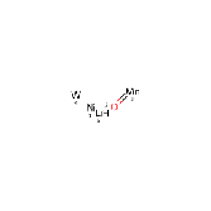 [LiH].[Ni].[O]=[Mn].[W]